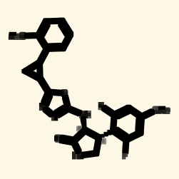 COc1cc(F)c([C@@H]2CNC(=O)[C@H]2Nc2nnc(C3CC3c3ccccc3OC)o2)c(F)c1